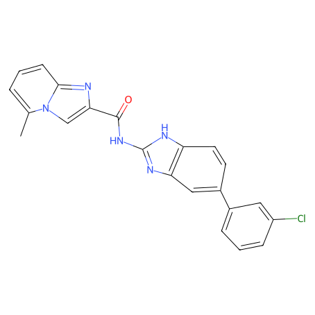 Cc1cccc2nc(C(=O)Nc3nc4cc(-c5cccc(Cl)c5)ccc4[nH]3)cn12